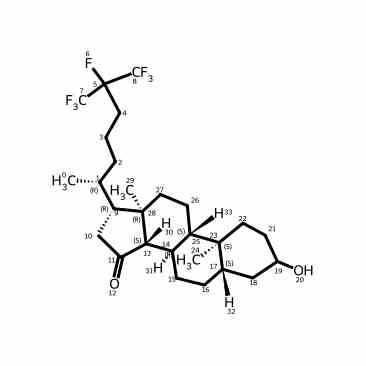 C[C@H](CCCC(F)(C(F)(F)F)C(F)(F)F)[C@H]1CC(=O)[C@H]2[C@@H]3CC[C@H]4CC(O)CC[C@]4(C)[C@H]3CC[C@]12C